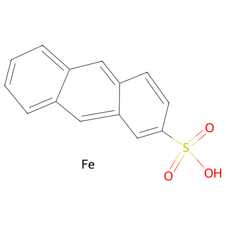 O=S(=O)(O)c1ccc2cc3ccccc3cc2c1.[Fe]